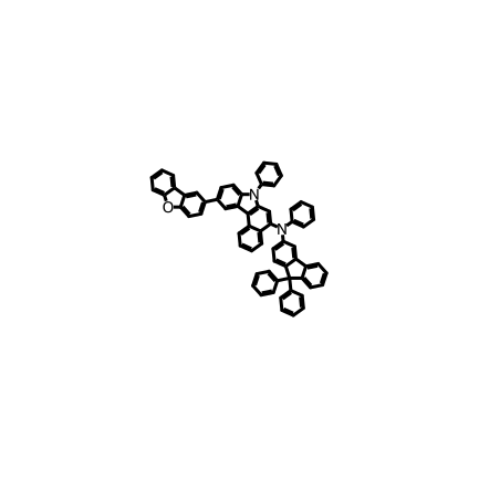 c1ccc(N(c2ccc3c(c2)-c2ccccc2C3(c2ccccc2)c2ccccc2)c2cc3c(c4ccccc24)c2cc(-c4ccc5oc6ccccc6c5c4)ccc2n3-c2ccccc2)cc1